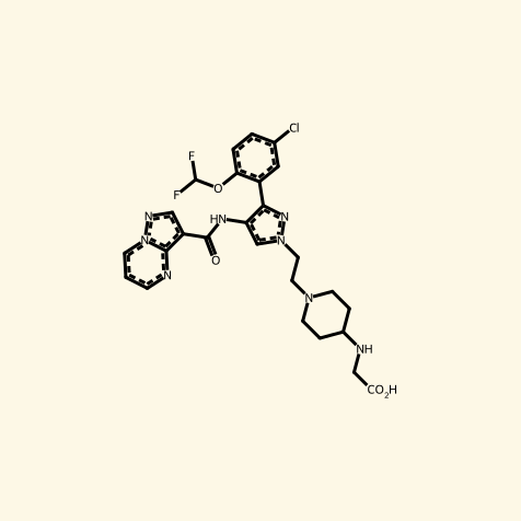 O=C(O)CNC1CCN(CCn2cc(NC(=O)c3cnn4cccnc34)c(-c3cc(Cl)ccc3OC(F)F)n2)CC1